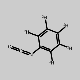 [2H]c1c([2H])c([2H])c(N=C=O)c([2H])c1[2H]